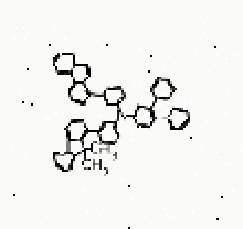 CC1(C)c2ccccc2-c2cccc(-c3cccc(N(c4cccc(-c5cccc6c5ccc5ccccc56)c4)c4ccc(-c5ccccc5)c(-c5ccccc5)c4)c3)c21